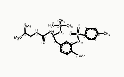 COc1ccc(CC(NC(=O)NCC(OC)OC)O[Si](C)(C)C)cc1OS(=O)(=O)c1ccc(C)cc1